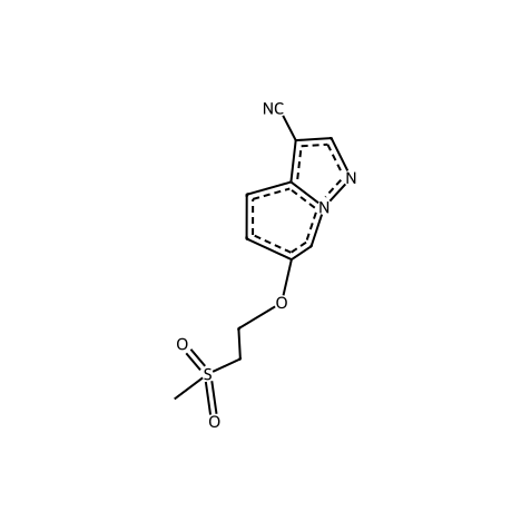 CS(=O)(=O)CCOc1ccc2c(C#N)cnn2c1